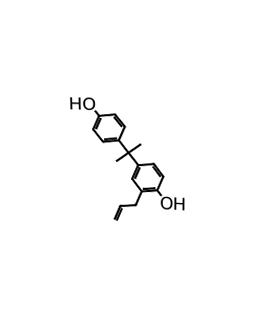 C=CCc1cc(C(C)(C)c2ccc(O)cc2)ccc1O